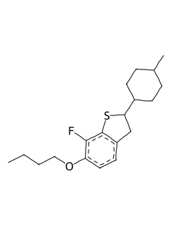 CCCCOc1ccc2c(c1F)SC(C1CCC(C)CC1)C2